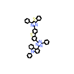 C1=Cc2c(n(-c3ccccc3)c3cccc(-c4nc(-c5ccccc5)nc(-c5ccc6sc7cc(-c8nc(-c9ccccc9)c9sc%10ccccc%10c9n8)ccc7c6c5)n4)c23)CC1